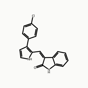 O=C1Nc2ccccc2C1=Cc1[nH]ccc1-c1ccc(Cl)cc1